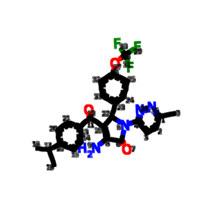 Cc1ccc(N2C(=O)C(N)=C(C(=O)c3ccc(C(C)C)cc3)C2c2ccc(OC(F)(F)F)cc2)nn1